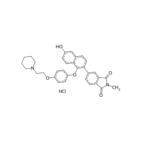 CN1C(=O)c2ccc(-c3ccc4cc(O)ccc4c3Oc3ccc(OCCN4CCCCC4)cc3)cc2C1=O.Cl